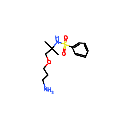 CC(C)(COCCCN)NS(=O)(=O)c1ccccc1